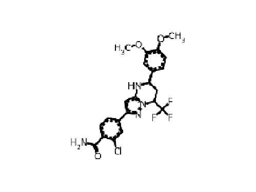 COc1ccc(C2CC(C(F)(F)F)n3nc(-c4ccc(C(N)=O)c(Cl)c4)cc3N2)cc1OC